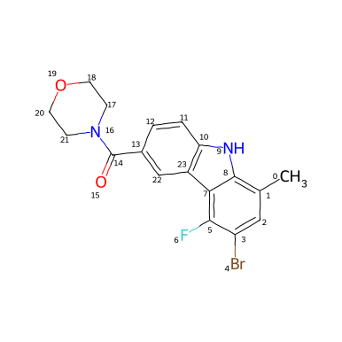 Cc1cc(Br)c(F)c2c1[nH]c1ccc(C(=O)N3CCOCC3)cc12